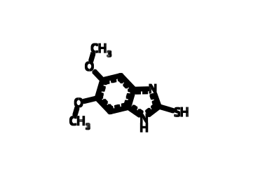 COc1cc2nc(S)[nH]c2cc1OC